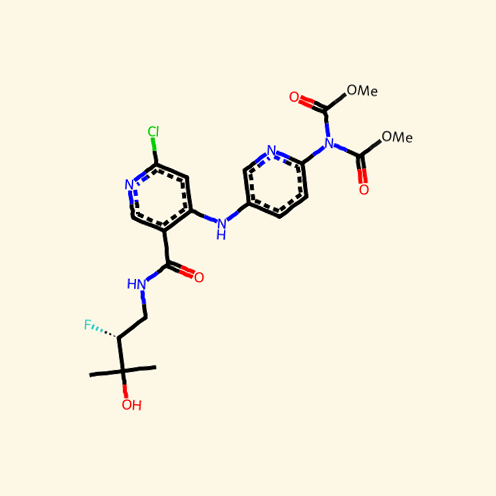 COC(=O)N(C(=O)OC)c1ccc(Nc2cc(Cl)ncc2C(=O)NC[C@@H](F)C(C)(C)O)cn1